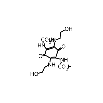 O=C(O)NC1=C(NCCO)C(=O)C(NC(=O)O)=C(NCCO)C1=O